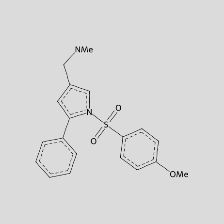 CNCc1cc(-c2ccccc2)n(S(=O)(=O)c2ccc(OC)cc2)c1